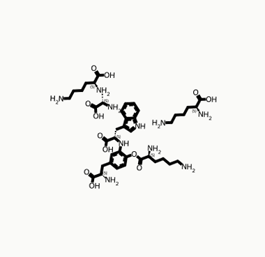 C[C@H](N)C(=O)O.NCCCC[C@H](N)C(=O)O.NCCCC[C@H](N)C(=O)O.NCCCC[C@H](N)C(=O)Oc1ccc(C[C@H](N)C(=O)O)cc1N[C@@H](Cc1c[nH]c2ccccc12)C(=O)O